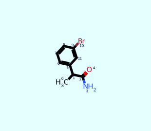 CC(C(N)=O)c1cccc(Br)c1